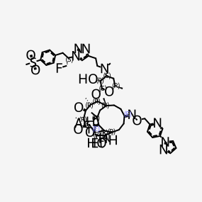 CC[C@H]1OC(=O)[C@H](C)C(=O)[C@H](C)[C@@H](O[C@@H]2O[C@H](C)C[C@H](N(C)CCc3cn([C@H](CF)Cc4ccc(S(C)(=O)=O)cc4)nn3)[C@H]2O)[C@]2(C)CC/C(=N/OCc3ccc(-n4cccn4)cn3)CC[C@H]([C@@H](C)/C(=N/C(C)=O)[C@H](C)C2)[C@]1(C)O